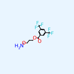 NOCCCOC(=O)c1cc(C(F)(F)F)cc(C(F)(F)F)c1